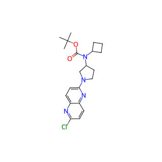 CC(C)(C)OC(=O)N(C1CCC1)C1CCN(c2ccc3nc(Cl)ccc3n2)C1